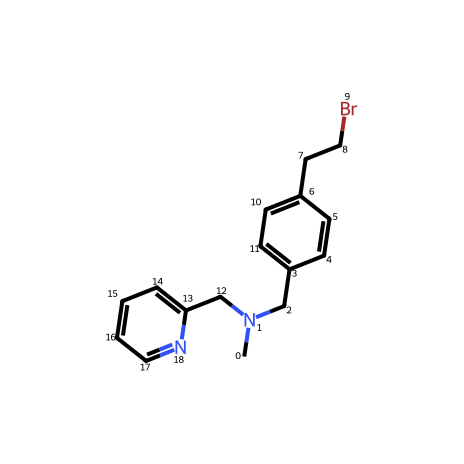 CN(Cc1ccc(CCBr)cc1)Cc1ccccn1